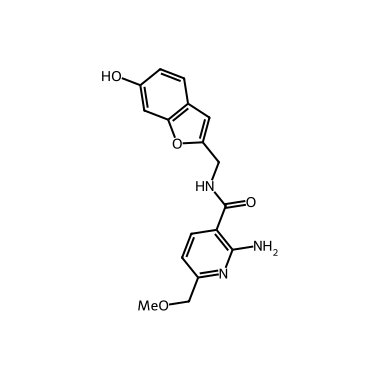 COCc1ccc(C(=O)NCc2cc3ccc(O)cc3o2)c(N)n1